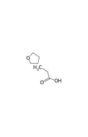 C1CCOC1.CCC(=O)O